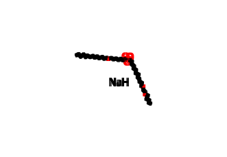 CCCCCCCCCCCCCCCCCCCCCC(=O)OC(=O)CCCCCCCCCCCCCCCCCCCCC.[NaH]